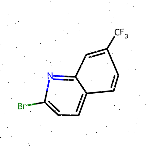 FC(F)(F)c1ccc2ccc(Br)nc2c1